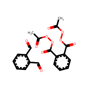 CC(=O)OOC(=O)c1ccccc1C(=O)OOC(C)=O.O=[C]c1ccccc1[C]=O